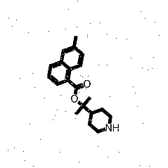 Cc1ccc2c(C(=O)OC(C)(C)C3CCNCC3)cccc2c1